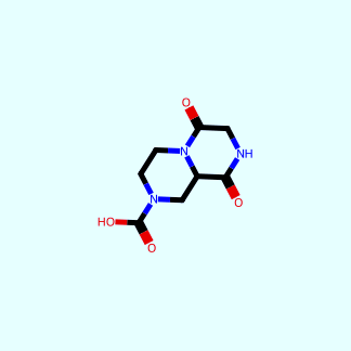 O=C1NCC(=O)N2CCN(C(=O)O)CC12